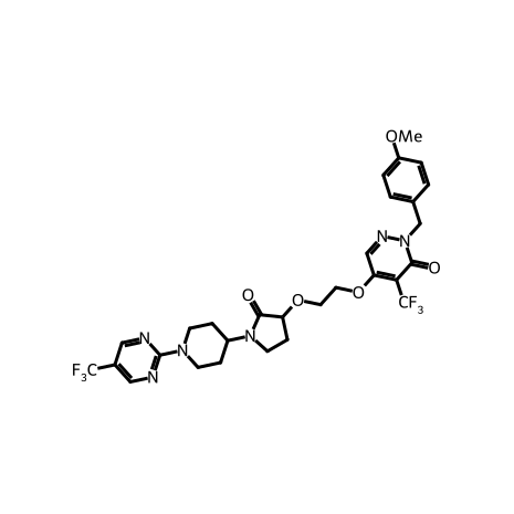 COc1ccc(Cn2ncc(OCCOC3CCN(C4CCN(c5ncc(C(F)(F)F)cn5)CC4)C3=O)c(C(F)(F)F)c2=O)cc1